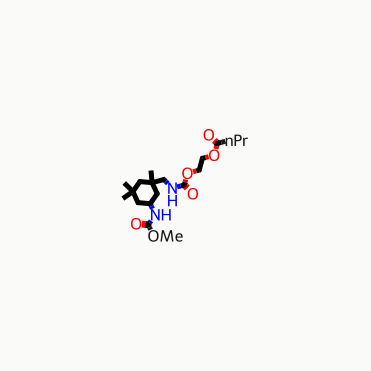 CCCC(=O)OCCOC(=O)NCC1(C)CC(NC(=O)OC)CC(C)(C)C1